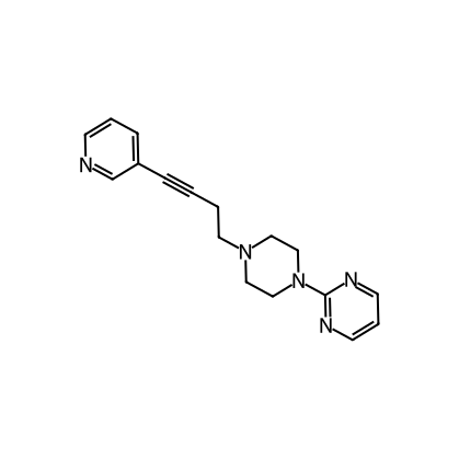 C(#Cc1cccnc1)CCN1CCN(c2ncccn2)CC1